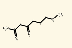 COCCCC(=O)CC(N)=O